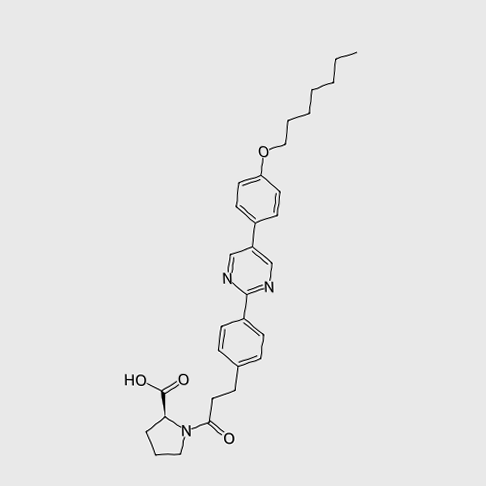 CCCCCCCOc1ccc(-c2cnc(-c3ccc(CCC(=O)N4CCC[C@H]4C(=O)O)cc3)nc2)cc1